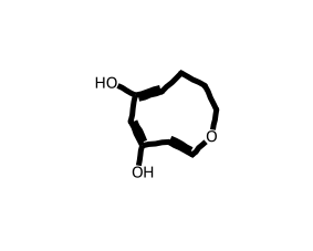 OC1=C\CCCO/C=C/C(O)=C\1